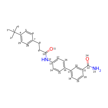 CC(C)(C)c1ccc(CCC(=O)Nc2ccc(-c3cccc(C(N)=O)c3)cc2)cc1